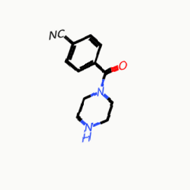 N#Cc1ccc(C(=O)N2CCNCC2)cc1